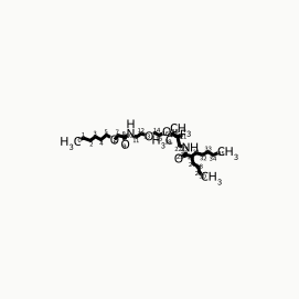 CCCCCCOCC(=O)NCCOCCOC(C)(C)C(F)CNC(=O)C(CCCC)CCCCC